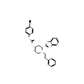 N#Cc1ccc(NC(=O)N[C@@H]2CCN(CCc3ccccc3)[C@@H](c3nc4ccccc4[nH]3)C2)cc1